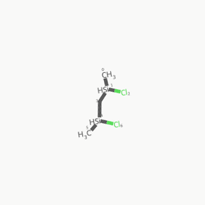 C[SiH](Cl)C[SiH](C)Cl